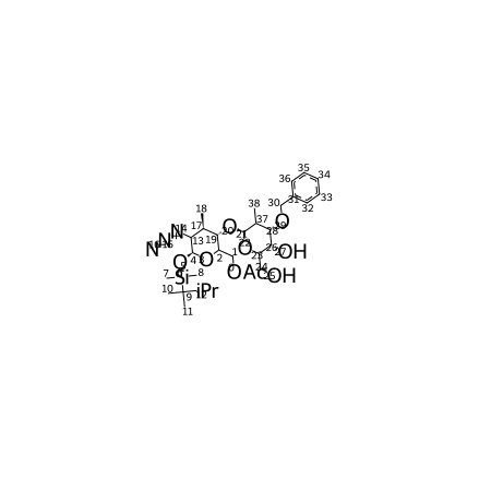 CC(=O)OCC1O[C@@H](O[Si](C)(C)C(C)(C)C(C)C)C(N=[N+]=[N-])[C@@H](C)[C@@H]1O[C@@H]1OC(CO)[C@@H](O)[C@@H](OCc2ccccc2)C1C